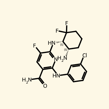 NC(=O)c1cc(F)c(N[C@H]2[C@@H](N)CCCC2(F)F)nc1Nc1cccc(Cl)c1